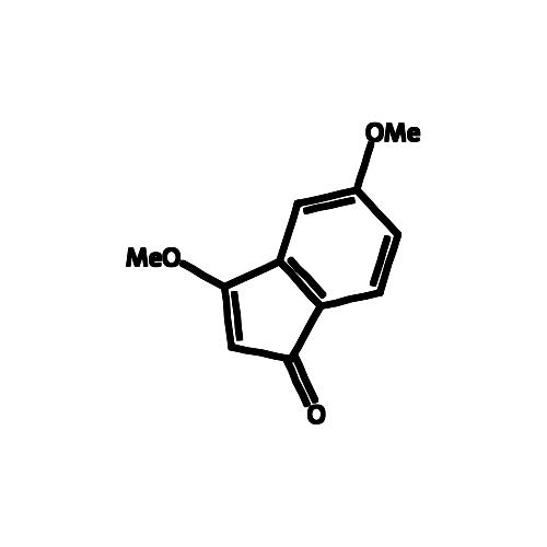 COC1=CC(=O)c2ccc(OC)cc21